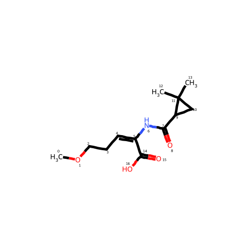 COCCC=C(NC(=O)C1CC1(C)C)C(=O)O